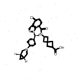 C[C@@H](c1ccc(N2C[C@H]3C[C@H]3C2)cc1)n1ncc2c(Cl)ccc(C(=O)NC3CC4(C3)CC(C(=O)O)C4)c21